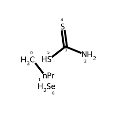 CCCC.NC(=S)S.[SeH2]